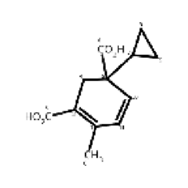 CC1=C(C(=O)O)CC(C(=O)O)(C2CC2)C=C1